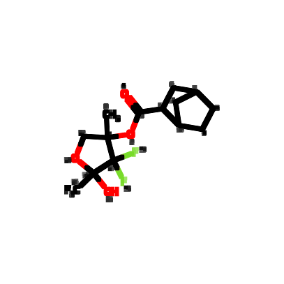 CC1(OC(=O)C2CC3CCC2C3)COC(O)(C(F)(F)F)C1(F)F